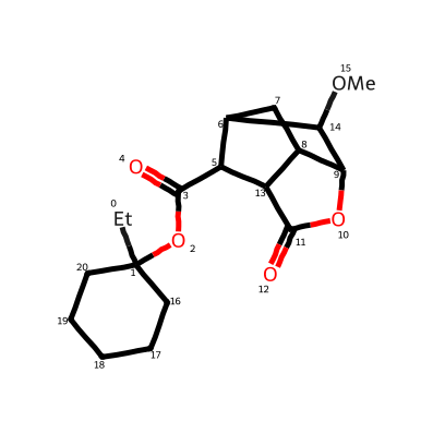 CCC1(OC(=O)C2C3CC4C(OC(=O)C42)C3OC)CCCCC1